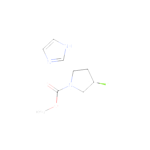 CC(C)(C)OC(=O)N1C[C@H](F)C[C@H]1c1ncc[nH]1